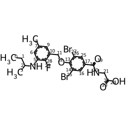 CCC(C)Nc1cc(C)cc(COc2c(Br)cc(C(=O)NCC(=O)O)cc2Br)c1F